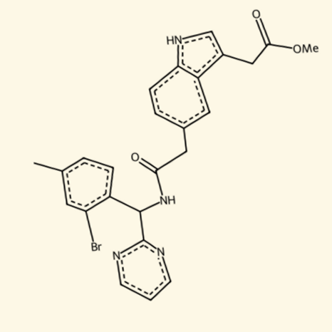 COC(=O)Cc1c[nH]c2ccc(CC(=O)NC(c3ncccn3)c3ccc(C)cc3Br)cc12